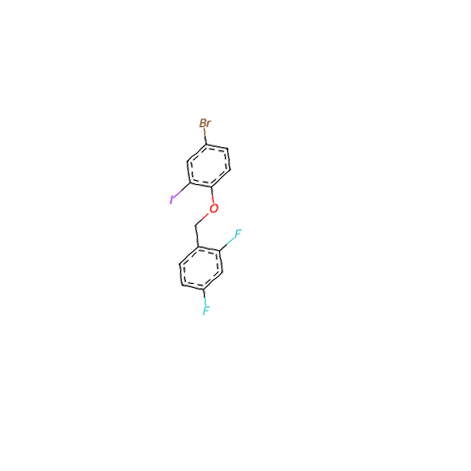 Fc1ccc(COc2ccc(Br)cc2I)c(F)c1